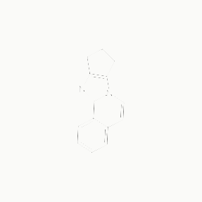 c1ccc2c(c1)ccn1c3c(nc21)CCC3